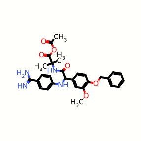 COc1cc(C(Nc2ccc(C(=N)N)cc2)C(=O)NC(C)(C)C(=O)OC(C)=O)ccc1OCc1ccccc1